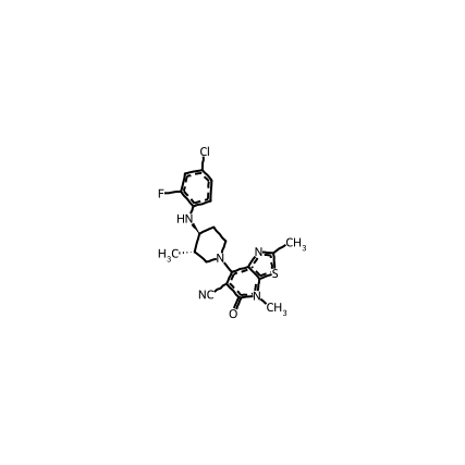 Cc1nc2c(N3CC[C@H](Nc4ccc(Cl)cc4F)[C@@H](C)C3)c(C#N)c(=O)n(C)c2s1